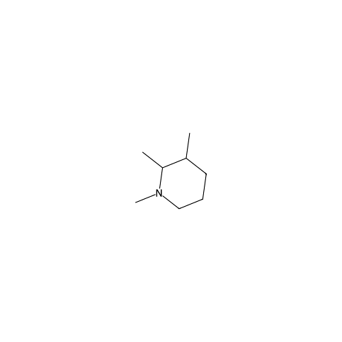 CC1CCCN(C)C1C